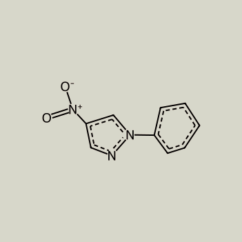 O=[N+]([O-])c1cnn(-c2ccccc2)c1